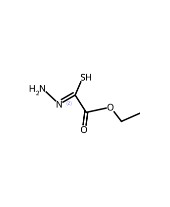 CCOC(=O)/C(S)=N/N